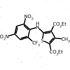 CCOC(=O)c1sc(Nc2c([N+](=O)[O-])cc([N+](=O)[O-])cc2C(F)(F)F)c(C(=O)OCC)c1C